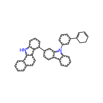 C1=CCCC(c2cccc(-n3c4ccccc4c4ccc(-c5cccc6[nH]c7c8ccccc8ccc7c56)cc43)c2)=C1